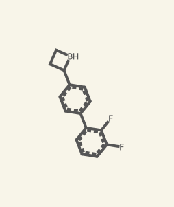 Fc1cccc(-c2ccc(C3BCC3)cc2)c1F